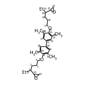 CCC(CCCOc1c(C)cc(-c2cc(C)c(OCCCC(CC)C3CO3)c(C)c2)cc1C)C1CO1